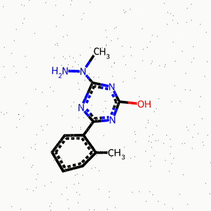 Cc1ccccc1-c1nc(O)nc(N(C)N)n1